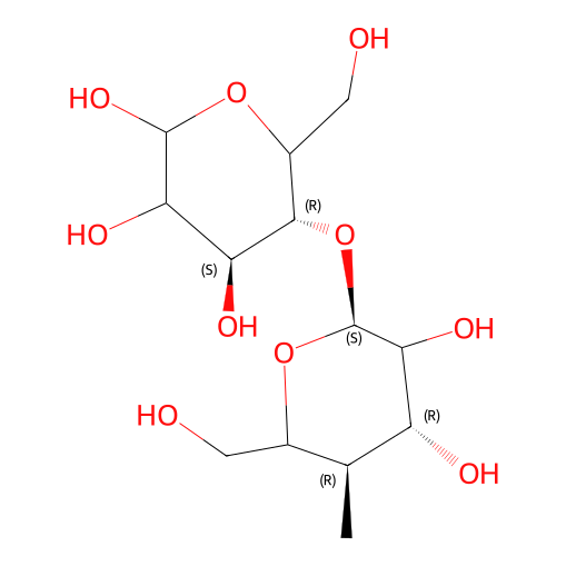 C[C@H]1C(CO)O[C@@H](O[C@H]2C(CO)OC(O)C(O)[C@@H]2O)C(O)[C@@H]1O